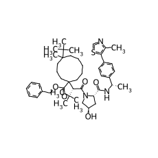 Cc1ncsc1-c1ccc([C@H](C)NC(=O)[C@@H]2C[C@@H](O)CN2C(=O)[C@H](C(C)(C)C)C2(C(=O)OCc3ccccc3)CCCCCC(C)(C(C)(C)C)CCC2)cc1